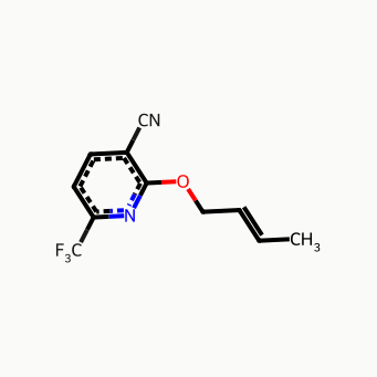 C/C=C/COc1nc(C(F)(F)F)ccc1C#N